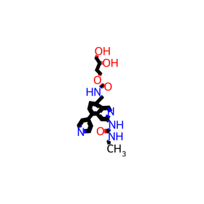 CCNC(=O)Nc1cc2c(-c3ccncc3)ccc(CNC(=O)OCCC(O)CO)c2cn1